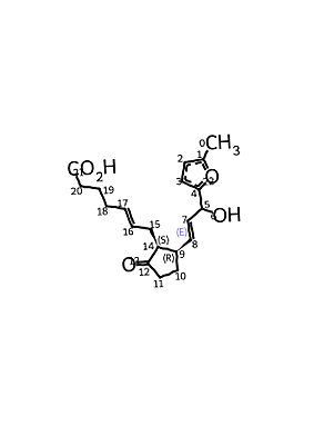 Cc1ccc(C(O)/C=C/[C@H]2CCC(=O)[C@H]2CC=CCCCC(=O)O)o1